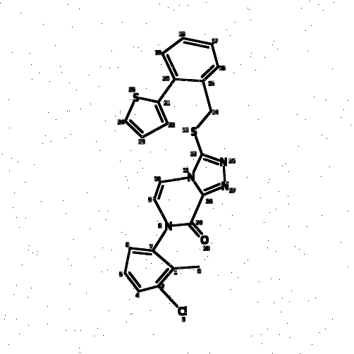 Cc1c(Cl)cccc1-n1ccn2c(SCc3ccccc3-c3cccs3)nnc2c1=O